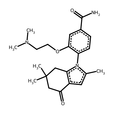 Cc1cc2c(n1-c1ccc(C(N)=O)cc1OCCN(C)C)CC(C)(C)CC2=O